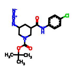 CC(C)(C)OC(=O)N1CC(N=[N+]=[N-])CC(C(=O)Nc2ccc(Cl)cc2)C1